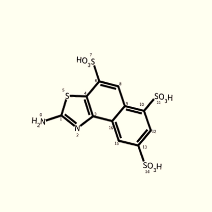 Nc1nc2c(s1)c(S(=O)(=O)O)cc1c(S(=O)(=O)O)cc(S(=O)(=O)O)cc12